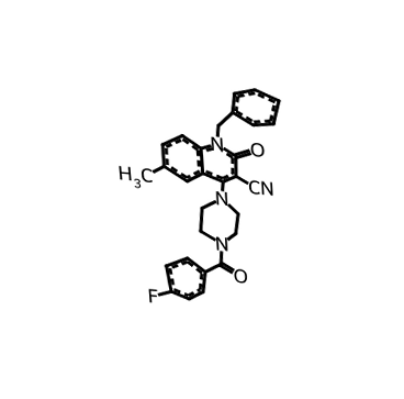 Cc1ccc2c(c1)c(N1CCN(C(=O)c3ccc(F)cc3)CC1)c(C#N)c(=O)n2Cc1ccccc1